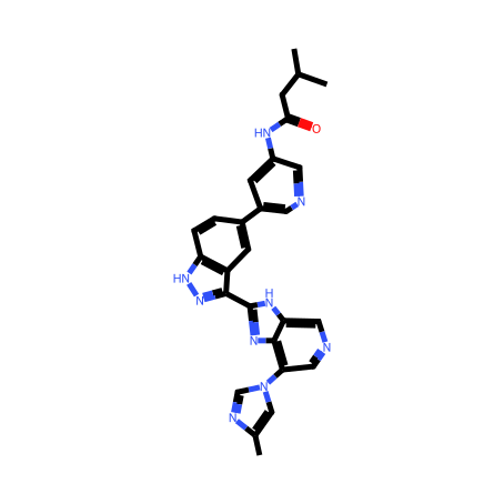 Cc1cn(-c2cncc3[nH]c(-c4n[nH]c5ccc(-c6cncc(NC(=O)CC(C)C)c6)cc45)nc23)cn1